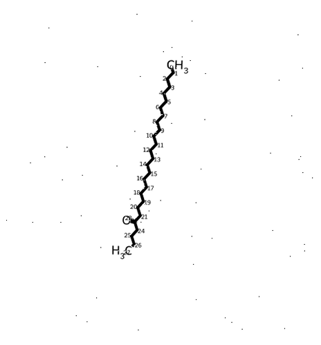 CCCCCCCCCCCCCCCCCCCCCCC(=O)CCCC